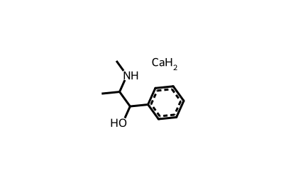 CNC(C)C(O)c1ccccc1.[CaH2]